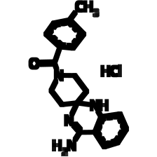 Cc1ccc(C(=O)N2CCC3(CC2)N=C(N)c2ccccc2N3)cc1.Cl